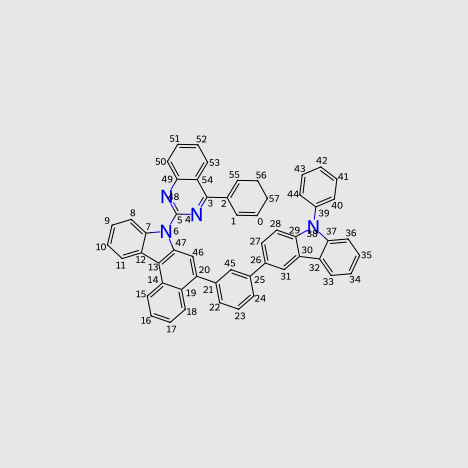 C1=CC(c2nc(-n3c4ccccc4c4c5ccccc5c(-c5cccc(-c6ccc7c(c6)c6ccccc6n7-c6ccccc6)c5)cc43)nc3ccccc23)=CCC1